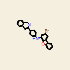 Brc1cc(Nc2ccc(-c3cc4ccccc4cn3)cc2)c2oc3ccccc3c2c1